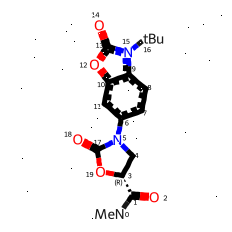 CNC(=O)[C@H]1CN(c2ccc3c(c2)oc(=O)n3C(C)(C)C)C(=O)O1